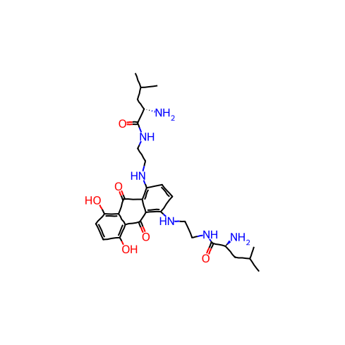 CC(C)C[C@H](N)C(=O)NCCNc1ccc(NCCNC(=O)[C@@H](N)CC(C)C)c2c1C(=O)c1c(O)ccc(O)c1C2=O